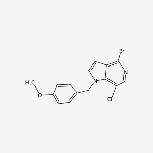 COc1ccc(Cn2ccc3c(Br)ncc(Cl)c32)cc1